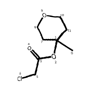 CC1(OC(=O)CCl)CCOCC1